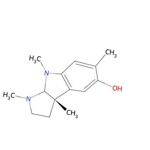 Cc1cc2c(cc1O)[C@]1(C)CCN(C)C1N2C